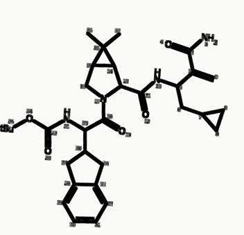 C=C(C(N)=O)C(CC1CC1)NC(=O)C1C2C(CN1C(=O)C(NC(=O)OC(C)(C)C)C1Cc3ccccc3C1)C2(C)C